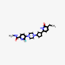 CCc1ccc(C2CCC(N3CCN(c4ccc(C(=O)NC)nc4F)CC3)C2)[nH]c1=O